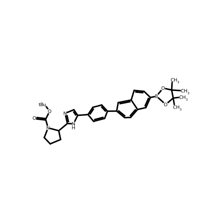 CC(C)(C)OC(=O)N1CCCC1c1ncc(-c2ccc(-c3ccc4cc(B5OC(C)(C)C(C)(C)O5)ccc4c3)cc2)[nH]1